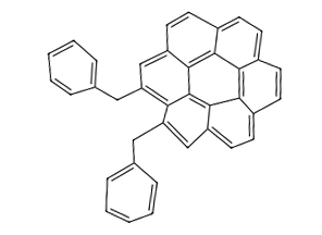 c1ccc(Cc2cc3ccc4ccc5ccc6ccc7cc(Cc8ccccc8)c2c2c3c4c5c6c72)cc1